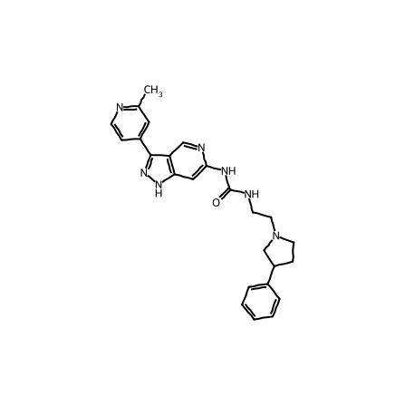 Cc1cc(-c2n[nH]c3cc(NC(=O)NCCN4CCC(c5ccccc5)C4)ncc23)ccn1